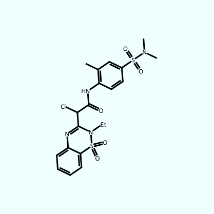 CCN1C(C(Cl)C(=O)Nc2ccc(S(=O)(=O)N(C)C)cc2C)=Nc2ccccc2S1(=O)=O